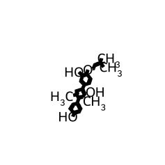 CC(C)=CCOc1ccc(-c2cc(C)c(-c3ccc(O)cc3)c(C)c2O)cc1O